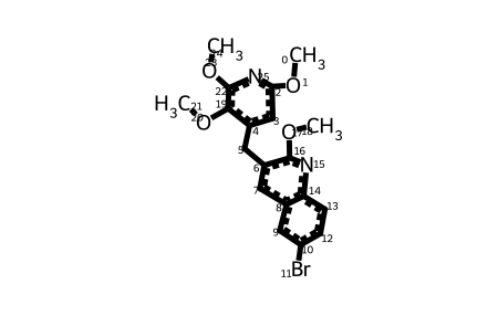 COc1cc(Cc2cc3cc(Br)ccc3nc2OC)c(OC)c(OC)n1